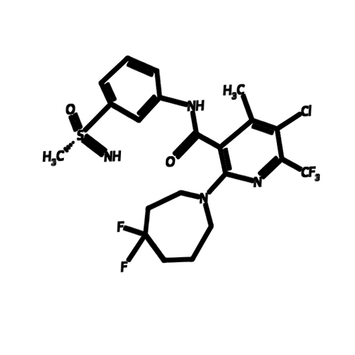 Cc1c(Cl)c(C(F)(F)F)nc(N2CCCC(F)(F)CC2)c1C(=O)Nc1cccc([S@@](C)(=N)=O)c1